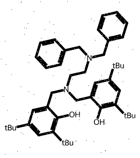 CC(C)(C)c1cc(CN(CCN(Cc2ccccc2)Cc2ccccc2)Cc2cc(C(C)(C)C)cc(C(C)(C)C)c2O)c(O)c(C(C)(C)C)c1